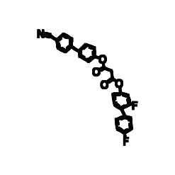 N#Cc1ccc(-c2ccc(OC(=O)CC(=O)Oc3ccc(-c4ccc(F)cc4)c(F)c3)cc2)cc1